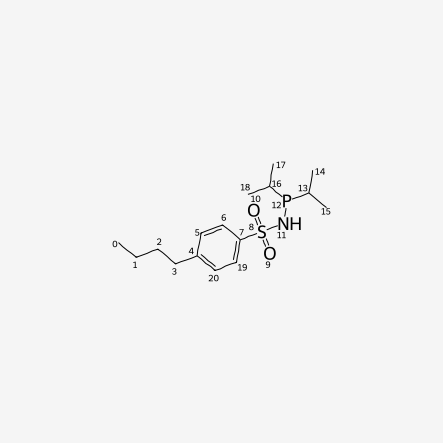 CCCCc1ccc(S(=O)(=O)NP(C(C)C)C(C)C)cc1